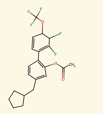 CC(=O)Sc1cc(CC2CCCC2)ccc1C1=C(F)C(F)C(OC(F)(F)F)C=C1